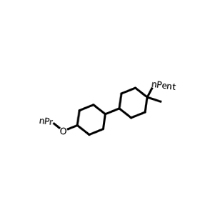 CCCCCC1(C)CCC(C2CCC(OCCC)CC2)CC1